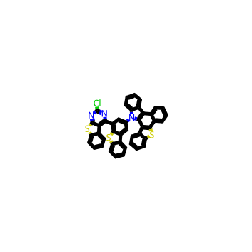 Clc1nc(-c2cc(-n3c4ccccc4c4c5ccccc5c5sc6ccccc6c5c43)cc3c2sc2ccccc23)c2c(n1)sc1ccccc12